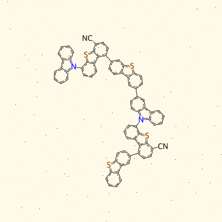 N#Cc1ccc(-c2ccc3c(c2)sc2ccc(-c4ccc5c(c4)c4ccccc4n5-c4cccc5c4sc4c(C#N)ccc(-c6ccc7sc8ccccc8c7c6)c45)cc23)c2c1sc1c(-n3c4ccccc4c4ccccc43)cccc12